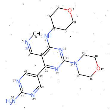 C/N=C\c1c(NC2CCOCC2)nc(N2CCOCC2)nc1-c1cnc(N)nc1